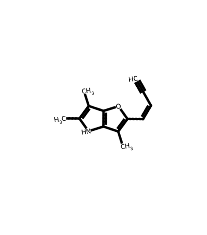 C#C/C=C\c1oc2c(C)c(C)[nH]c2c1C